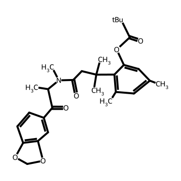 Cc1cc(C)c(C(C)(C)CC(=O)N(C)C(C)C(=O)c2ccc3c(c2)OCO3)c(OC(=O)C(C)(C)C)c1